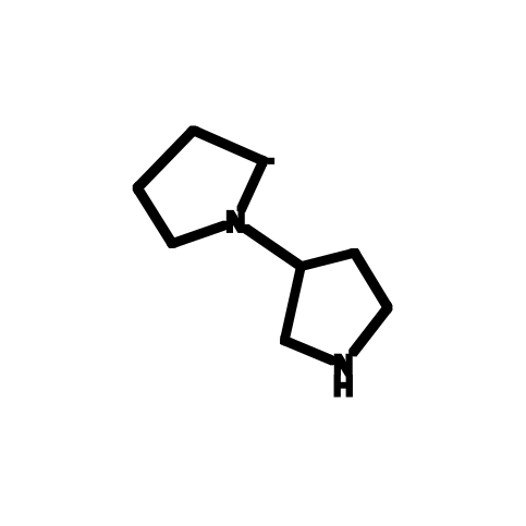 [CH]1CCCN1C1CCNC1